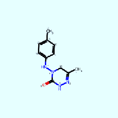 CC1=NNC(=O)N(Nc2ccc(C)cc2)C1